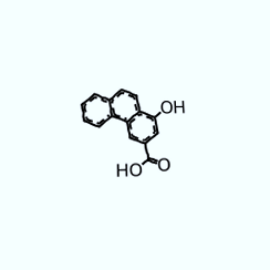 O=C(O)c1cc(O)c2ccc3ccccc3c2c1